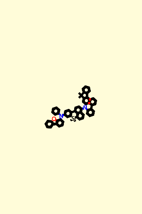 CC1(C)c2ccccc2-c2ccc(N(c3ccccc3-c3ccccc3)c3ccc4c5c(cccc35)[Si](C)(C)c3cc(N(c5ccccc5)c5cccc6c5oc5ccccc56)ccc3-4)cc21